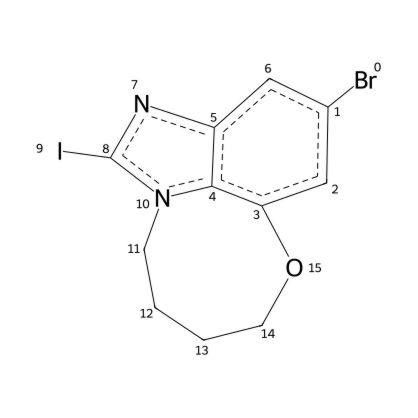 Brc1cc2c3c(c1)nc(I)n3CCCCO2